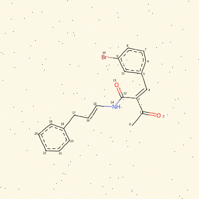 CC(=O)C(=Cc1cccc(Br)c1)C(=O)NC=CCc1ccccc1